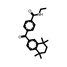 CCNC(=O)c1ccc(C(=O)c2ccc3c(c2)C(C)(C)CCC3(C)C)cc1